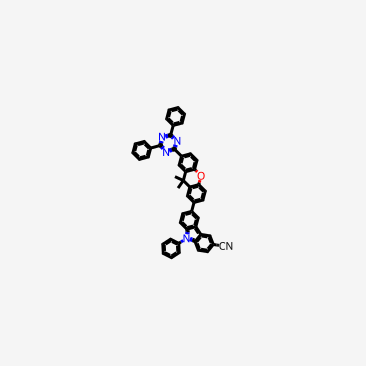 CC1(C)c2cc(-c3ccc4c(c3)c3cc(C#N)ccc3n4-c3ccccc3)ccc2Oc2ccc(-c3nc(-c4ccccc4)nc(-c4ccccc4)n3)cc21